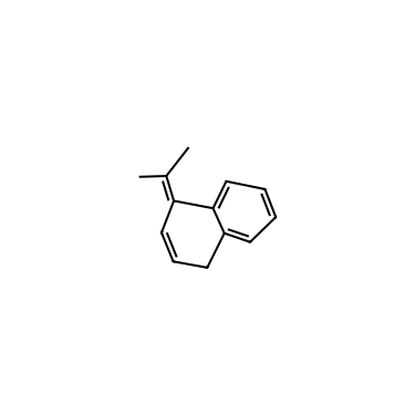 CC(C)=C1C=CCc2ccccc21